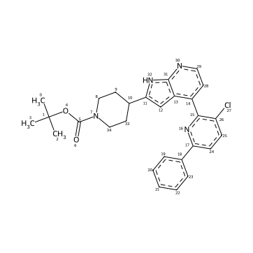 CC(C)(C)OC(=O)N1CCC(c2cc3c(-c4nc(-c5ccccc5)ccc4Cl)ccnc3[nH]2)CC1